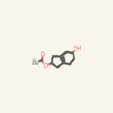 CCC(C)C(=O)OC1Cc2ccc(O)cc2C1